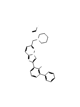 Cc1c(-c2ccccc2)cccc1-c1cn2nc(CN3CCCC[C@H]3C(=O)O)ccc2n1